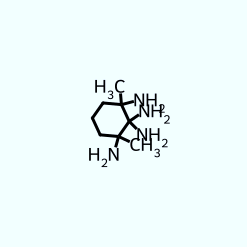 CC1(N)CCCC(C)(N)C1(N)N